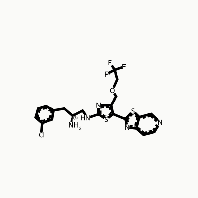 N[C@H](CNc1nc(COCC(F)(F)F)c(-c2nc3ccncc3s2)s1)Cc1cccc(Cl)c1